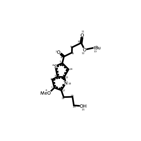 COc1cc2sc(C(=O)CCC(=O)OC(C)(C)C)cc2nc1CCCO